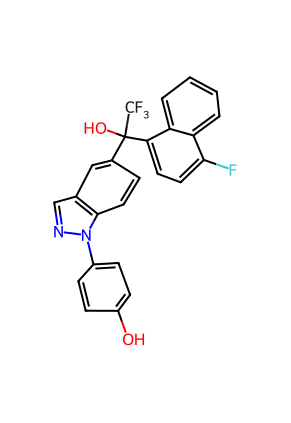 Oc1ccc(-n2ncc3cc(C(O)(c4ccc(F)c5ccccc45)C(F)(F)F)ccc32)cc1